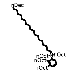 CCCCCCCCCCCCCCCCCCCCCCCCCCCC[N+](CCCCCCCC)(CCCCCCCC)c1cccc(CCCCCCCC)c1CCCCCCCC